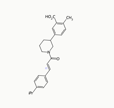 Cc1ccc(C2CCCN(C(=O)/C=C/c3ccc(C(C)C)cc3)C2)cc1C(=O)O